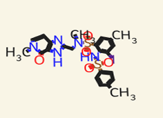 Cc1ccc(S(=O)(=O)Nc2c(I)cc(C)cc2S(=O)(=O)N(C)Cc2nc3ccn(C)c(=O)c3[nH]2)cc1